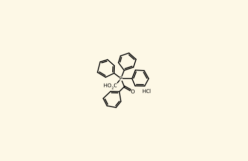 Cl.O=C(O)P(C(=O)c1ccccc1)(c1ccccc1)(c1ccccc1)c1ccccc1